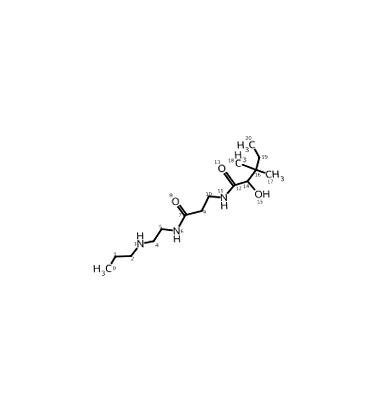 CCCNCCNC(=O)CCNC(=O)C(O)C(C)(C)CC